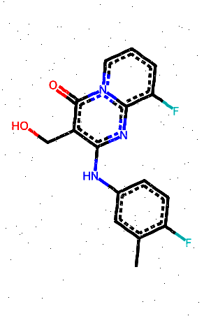 Cc1cc(Nc2nc3c(F)cccn3c(=O)c2CO)ccc1F